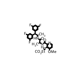 CCOC(=O)Oc1c(OC)ccnc1C(=O)N[C@@H](C)C(=O)N[C@@H](C)C(c1cc(F)cc(F)c1)c1cc(F)cc(F)c1